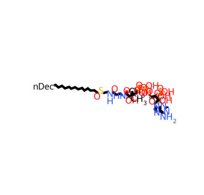 CCCCCCCCCCCCCCCCCCCCCCCC(=O)SCCNC(=O)CCNC(=O)[C@H](O)C(C)(C)COP(=O)(O)OP(=O)(O)OC[C@H]1O[C@@H](n2cnc3c(N)ncnc32)[C@H](O)[C@@H]1OP(=O)(O)O